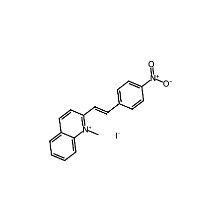 C[n+]1c(C=Cc2ccc([N+](=O)[O-])cc2)ccc2ccccc21.[I-]